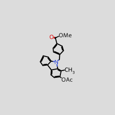 COC(=O)c1ccc(Cn2c3ccccc3c3ccc(OC(C)=O)c(C)c32)cc1